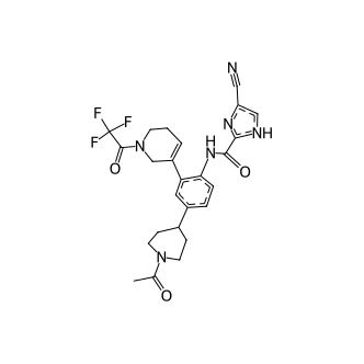 CC(=O)N1CCC(c2ccc(NC(=O)c3nc(C#N)c[nH]3)c(C3=CCCN(C(=O)C(F)(F)F)C3)c2)CC1